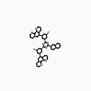 Fc1cc(-c2nc(-c3cc(F)cc(-c4cc5cccnc5c5ncccc45)c3)nc(-c3ccc4ccccc4c3)n2)cc(-c2cc3cccnc3c3ncccc23)c1